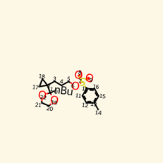 CCCCC1(C2(CCCOS(=O)(=O)c3ccc(C)cc3)CC2)OCCO1